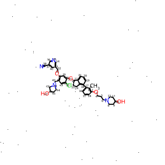 Cc1c(OCCCN2CCC(O)CC2)cccc1-c1cccc2c1CC[C@@H]2Oc1cc(OCc2cncc(C#N)c2)c(CN2CC[C@H](O)C2)cc1Cl